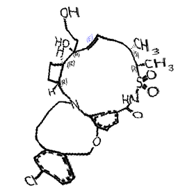 C[C@@H]1[C@@H](C)C/C=C/[C@@](O)(CCO)[C@@H]2CC[C@H]2CN2CCCCc3cc(Cl)ccc3COc3ccc(cc32)C(=O)NS1(=O)=O